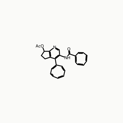 CC(=O)OC1CCc2c1ncc(NC(=O)C1=C/C=C\C=C/C=C\1)c2C1=C/C=C\C=C/C=C\1